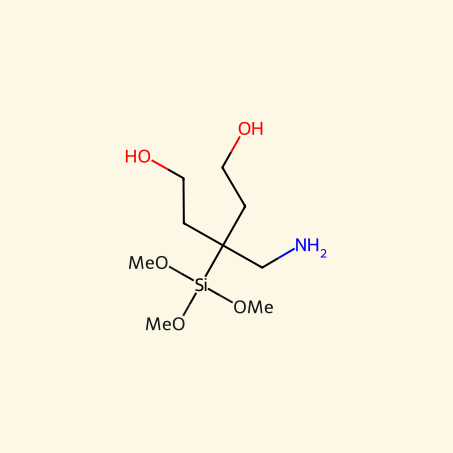 CO[Si](OC)(OC)C(CN)(CCO)CCO